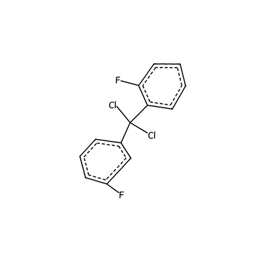 Fc1cccc(C(Cl)(Cl)c2ccccc2F)c1